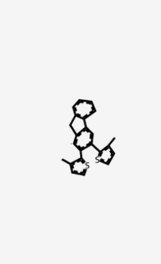 Cc1ccsc1-c1[c]c2c(cc1-c1sccc1C)-c1ccccc1C2